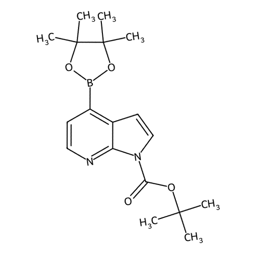 CC(C)(C)OC(=O)n1ccc2c(B3OC(C)(C)C(C)(C)O3)ccnc21